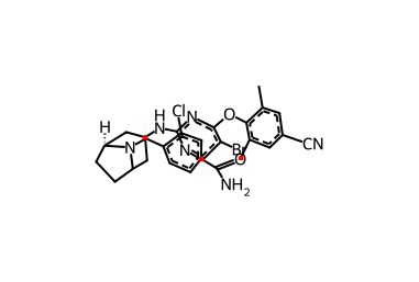 Cc1cc(C#N)cc(C)c1Oc1nc(NC2CC3CC[C@@H](C2)N3Cc2ccc(C(N)=O)cc2Cl)ncc1Br